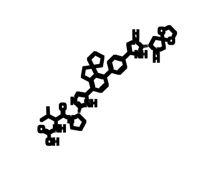 CC(C)C(NC(=O)O)C(=O)N1CCC[C@H]1c1ncc(-c2ccc(-c3ccc(C4=CNC([C@@H]5CC6(CN5)OCCO6)N4)cc3)c3c2CCC32CCCC2)[nH]1